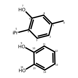 Cc1ccc(C(C)C)c(O)c1.Oc1ccccc1O